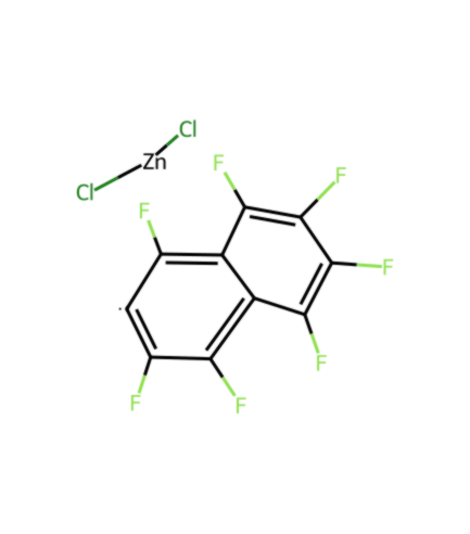 Fc1[c]c(F)c2c(F)c(F)c(F)c(F)c2c1F.[Cl][Zn][Cl]